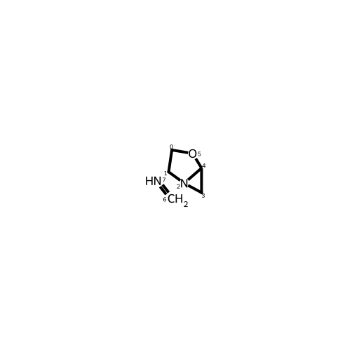 C1CN2CC2O1.C=N